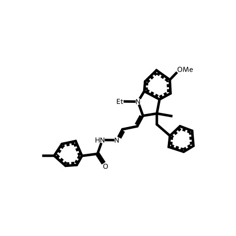 CCN1/C(=C\C=N\NC(=O)c2ccc(C)cc2)C(C)(Cc2ccccc2)c2cc(OC)ccc21